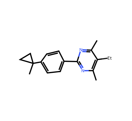 CCc1c(C)nc(-c2ccc(C3(C)CC3)cc2)nc1C